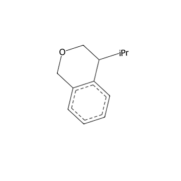 CC(C)C1COCc2ccccc21